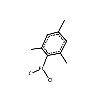 Cc1cc(C)[c]([Pt]([Cl])[Cl])c(C)c1